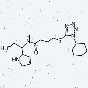 CCC(NC(=O)CCCSc1nnnn1C1CCCCC1)C1C=CCN1